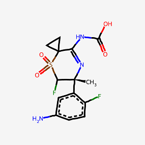 C[C@]1(c2cc(N)ccc2F)N=C(NC(=O)O)C2(CC2)S(=O)(=O)C1F